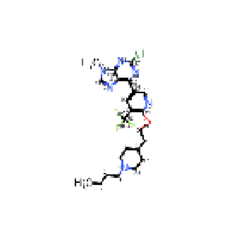 CCCCN1CCC(CCOc2ncc(-c3nc(Cl)nc4c3ncn4C)cc2C(F)(F)F)CC1